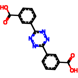 O=C(O)c1cccc(-c2nnc(-c3cccc(C(=O)O)c3)nn2)c1